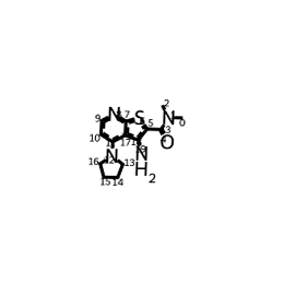 CN(C)C(=O)c1sc2nccc(N3CCCC3)c2c1N